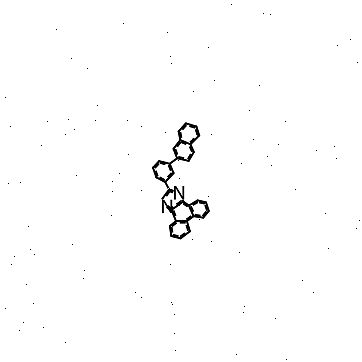 c1cc(-c2ccc3ccccc3c2)cc(-c2cnc3c4ccccc4c4ccccc4c3n2)c1